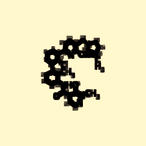 COc1nc(-c2cccc(-c3cccc(NC(=O)c4ccnn(C)c4=O)c3C)c2Cl)ccc1CN1CC[C@@H](C)C1